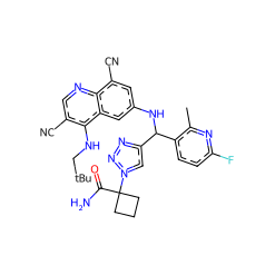 Cc1nc(F)ccc1C(Nc1cc(C#N)c2ncc(C#N)c(NCC(C)(C)C)c2c1)c1cn(C2(C(N)=O)CCC2)nn1